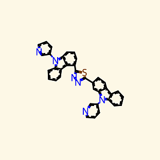 c1cncc(-n2c3ccccc3c3ccc(-c4nnc(-c5cccc6c5c5ccccc5n6-c5cccnc5)s4)cc32)c1